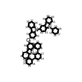 C1=Cc2c(n(-c3c(-c4ccccc4)cccc3-c3ccccc3)c3ccc(Oc4ccc5c(c4)c4ccccc4n5-c4ccc5c(c4)c4ccccc4n5-c4ccccc4)cc23)CC1